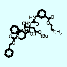 C=CCOC(=O)c1cccc(NC(=O)NC(CC(=O)OC(C)(C)C)(C(=O)Nc2ccccc2)C(=O)C2CCN(C(=O)OCc3ccccc3)CC2)c1